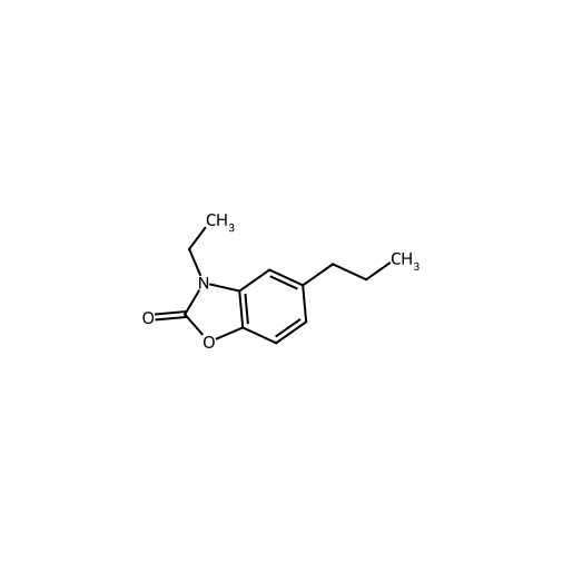 CCCc1ccc2oc(=O)n(CC)c2c1